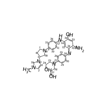 CN1C=CN(C2CCN(c3ccc(NC4=CC(=Nc5ccc(N(CCO)CCO)cc5)C(N)C=C4O)cc3)C2)C1